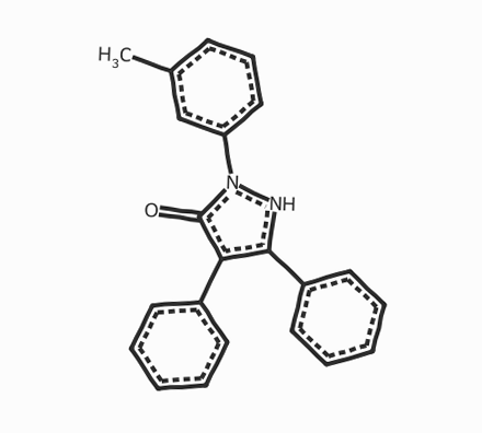 Cc1cccc(-n2[nH]c(-c3ccccc3)c(-c3ccccc3)c2=O)c1